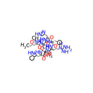 CCCC[C@H](NC(C)=O)C(=O)N[C@@H](C)C(=O)N[C@@H](Cc1c[nH]cn1)C(=O)N[C@H](Cc1ccccc1)C(=O)N[C@@H](CCCNC(=N)N)C(=O)N[C@@H](C)C(=O)N[C@@H](Cc1c[nH]c2ccccc12)C(=O)O